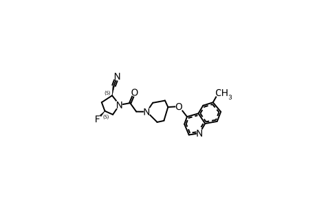 Cc1ccc2nccc(OC3CCN(CC(=O)N4C[C@@H](F)C[C@H]4C#N)CC3)c2c1